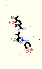 CC/C(C)=C(/C=C\C(=C(C)C)/C(=N/C=C(\C)c1nc(NC2CCN(S(C)(=O)=O)CC2)ncc1C(F)(F)F)C(C)CC)CO